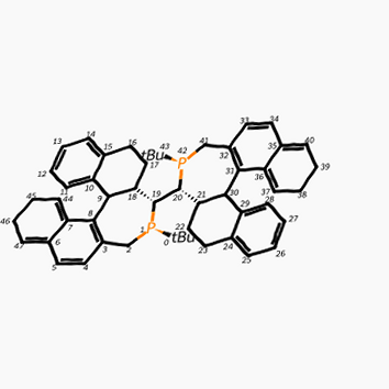 CC(C)(C)[P@@]1Cc2ccc3c(c2C2c4ccccc4CCC2[C@@H]1[C@H]1C2CCc4ccccc4C2c2c(ccc4c2=CCCC=4)C[P@]1C(C)(C)C)=CCCC=3